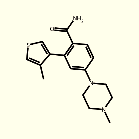 Cc1cscc1-c1cc(N2CCN(C)CC2)ccc1C(N)=O